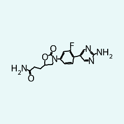 NC(=O)CCC1CN(c2ccc(-c3cnc(N)nc3)c(F)c2)C(=O)O1